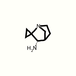 N[C@H]1C2CCN(C2)C12CC2